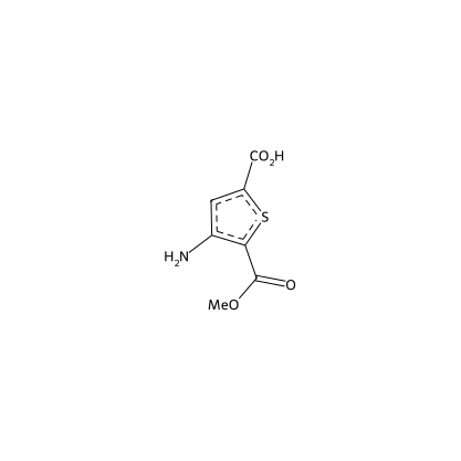 COC(=O)c1sc(C(=O)O)cc1N